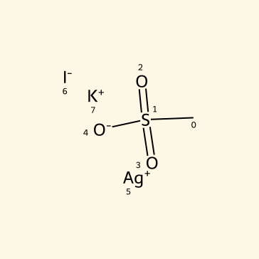 CS(=O)(=O)[O-].[Ag+].[I-].[K+]